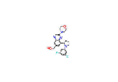 OCc1cc(C2CCCN2c2cc(F)cc(F)c2)c2nc(N3CCOCC3)cnc2c1